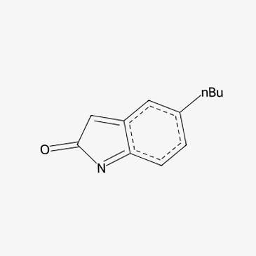 CCCCc1ccc2c(c1)=CC(=O)N=2